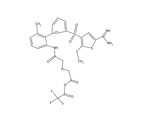 CSc1sc(C(=N)N)cc1S(=O)(=O)c1cccc(-c2c(C)cccc2NC(=O)COCC(=O)OC(=O)C(F)(F)F)c1